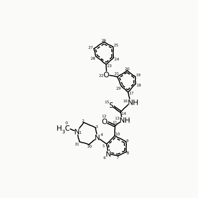 CN1CCN(c2ncccc2C(=O)NC(=S)Nc2cccc(Oc3ccccc3)c2)CC1